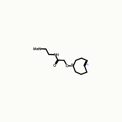 CNCCNC(=O)CO[C@H]1CC/C=C/CCC1